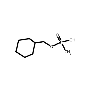 CP(=O)(O)OCC1CCCCC1